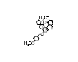 COc1ccc(COc2ccc(-c3cc(OC)ccc3F)c(C(=O)C3(C)CCCC3)c2)cc1